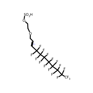 O=S(=O)(O)OCCOC/C=C/C(F)(F)C(F)(F)C(F)(F)C(F)(F)C(F)(F)C(F)(F)C(F)(F)C(F)(F)F